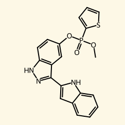 COP(=O)(Oc1ccc2[nH]nc(-c3cc4ccccc4[nH]3)c2c1)c1cccs1